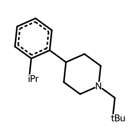 CC(C)c1ccccc1C1CCN(CC(C)(C)C)CC1